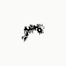 N[C@H](c1cn2ncc([C@H](NC(=O)COCC(F)F)C3CC3)cc2n1)C1CCC(F)(F)CC1